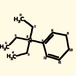 CC[Si](CC)(CC)C1=CCCC=C1